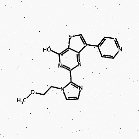 COCCn1ccnc1-c1nc(O)c2scc(-c3ccncc3)c2n1